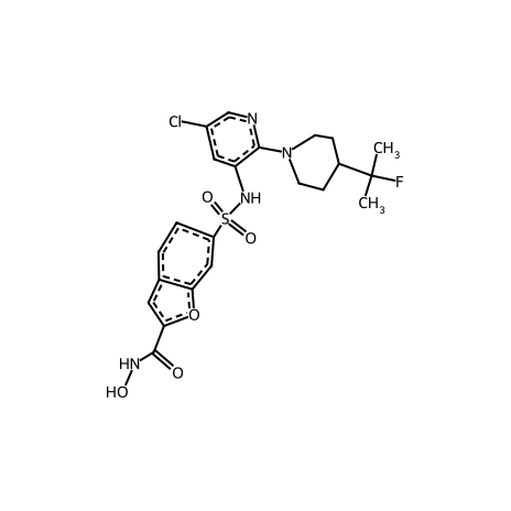 CC(C)(F)C1CCN(c2ncc(Cl)cc2NS(=O)(=O)c2ccc3cc(C(=O)NO)oc3c2)CC1